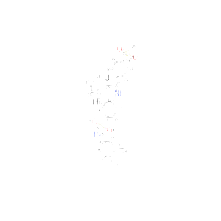 Cc1ccc(NS(=O)(=O)c2ccc3c(c2)[C@H]2C=CC[C@H]2[C@H](c2ccc(S(C)(=O)=O)cc2)N3)cc1C